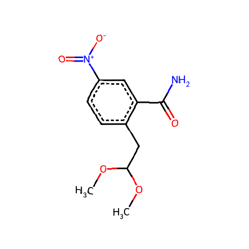 COC(Cc1ccc([N+](=O)[O-])cc1C(N)=O)OC